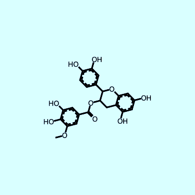 COc1cc(C(=O)OC2Cc3c(O)cc(O)cc3OC2c2ccc(O)c(O)c2)cc(O)c1O